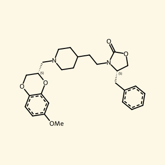 COc1ccc2c(c1)O[C@@H](CN1CCC(CCN3C(=O)OC[C@@H]3Cc3ccccc3)CC1)CO2